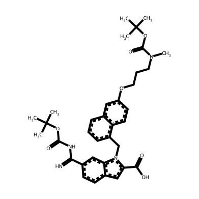 CN(CCCOc1ccc2c(Cn3c(C(=O)O)cc4ccc(C(=N)NC(=O)OC(C)(C)C)cc43)cccc2c1)C(=O)OC(C)(C)C